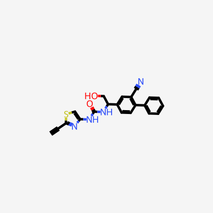 C#Cc1nc(NC(=O)NC(CO)c2ccc(-c3ccccc3)c(C#N)c2)cs1